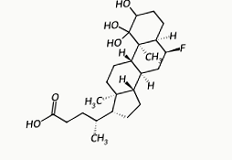 C[C@H](CCC(=O)O)[C@H]1CC[C@H]2[C@@H]3C[C@H](F)[C@@H]4CCC(O)C(O)(O)[C@]4(C)[C@H]3CC[C@]12C